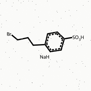 O=S(=O)(O)c1ccc(CCCBr)cc1.[NaH]